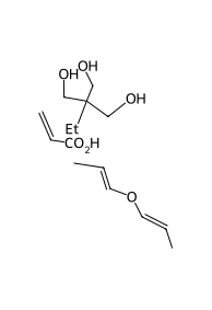 C=CC(=O)O.CC=COC=CC.CCC(CO)(CO)CO